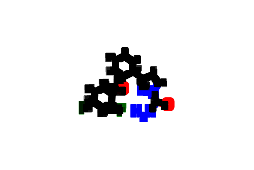 NC(=O)n1ccc(-c2ccccc2Oc2ccc(F)cc2F)n1